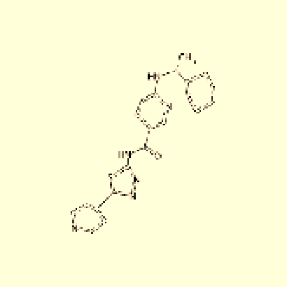 C[C@@H](Nc1ccc(C(=O)Nc2nnc(-c3ccncc3)s2)cn1)c1ccccc1